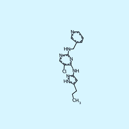 CCCc1cc(Nc2nc(NCc3cccnc3)ncc2Cl)n[nH]1